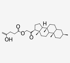 C=C(O)CCC(=O)OCC(=O)[C@H]1CC[C@@H]2[C@]1(C)CCC1[C@@]3(C)CC[C@H](C)CC3CC[C@]12C